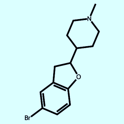 CN1CCC(C2Cc3cc(Br)ccc3O2)CC1